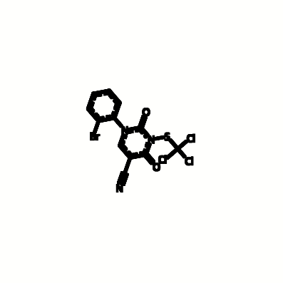 N#Cc1cn(-c2ccccc2Br)c(=O)n(SC(Cl)(Cl)Cl)c1=O